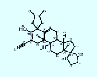 CCCC1(CCC)C2=CCC3[C@H](CCC4(C)[C@H]3CCC43OCCO3)C2(C)CC(C#N)=C1O